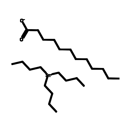 CCCCCCCCCCCC(=O)[O-].CCC[CH2][Sn+]([CH2]CCC)[CH2]CCC